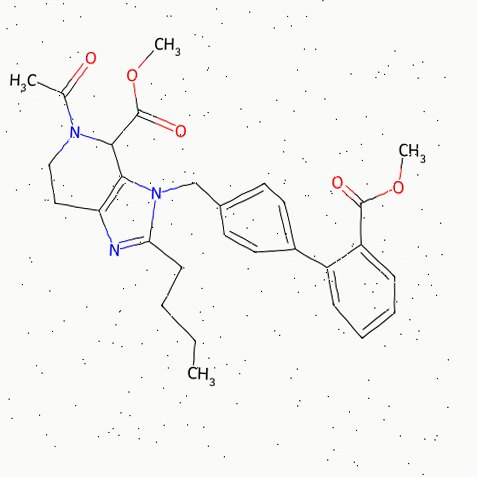 CCCCc1nc2c(n1Cc1ccc(-c3ccccc3C(=O)OC)cc1)C(C(=O)OC)N(C(C)=O)CC2